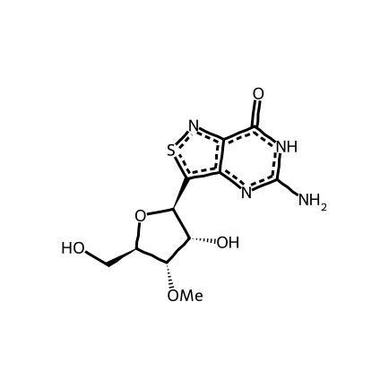 CO[C@H]1[C@@H](O)[C@H](c2snc3c(=O)[nH]c(N)nc23)O[C@@H]1CO